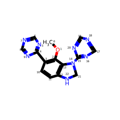 COc1c(-c2ncncn2)ccc2c1N(c1ncncn1)CN2